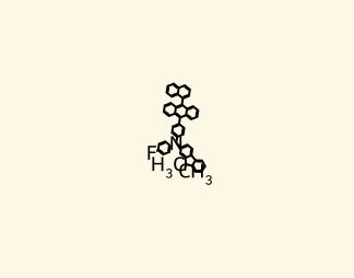 CC1(C)c2ccccc2-c2ccc(N(c3ccc(F)cc3)c3ccc(-c4c5ccccc5c(-c5cccc6ccccc56)c5ccccc45)cc3)cc21